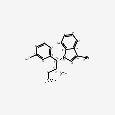 CNC[C@@H](O)[C@H](c1cccc(F)c1)n1cc(C(C)C)c2ccccc21